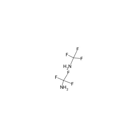 NC(F)(F)F.NC(F)(F)F